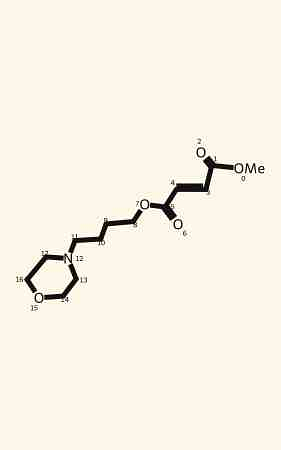 COC(=O)C=CC(=O)OCCCCN1CCOCC1